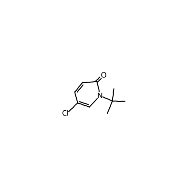 CC(C)(C)n1cc(Cl)ccc1=O